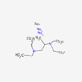 CC(CN(CC(=O)O)CC(=O)O)N(CC(=O)O)CC(=O)O.N.N.[Zn+2]